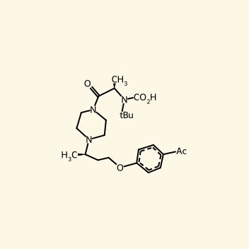 CC(=O)c1ccc(OCC[C@@H](C)N2CCN(C(=O)[C@@H](C)N(C(=O)O)C(C)(C)C)CC2)cc1